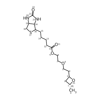 C[C@@H]1CC(CCOCCOC(=O)CCCCC2SCC3NC(=O)NC32)O1